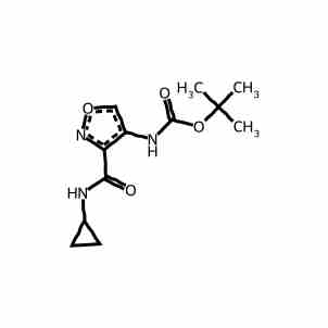 CC(C)(C)OC(=O)Nc1conc1C(=O)NC1CC1